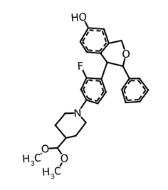 COC(OC)C1CCN(c2ccc(C3c4ccc(O)cc4COC3c3ccccc3)c(F)c2)CC1